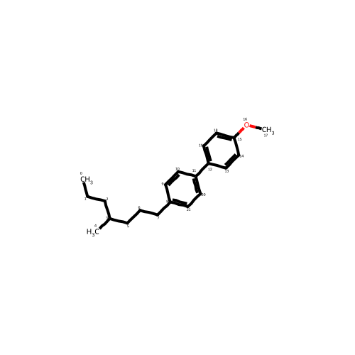 CCCC(C)CCCc1ccc(-c2ccc(OC)cc2)cc1